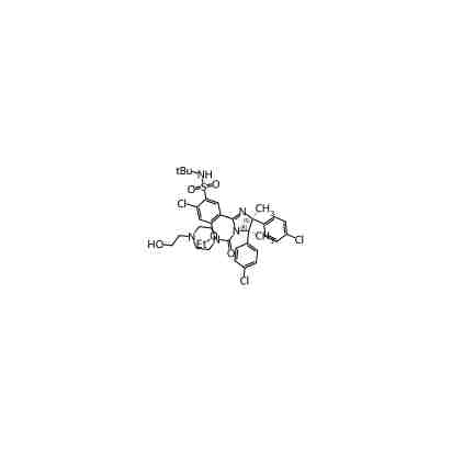 CCOc1cc(Cl)c(S(=O)(=O)NC(C)(C)C)cc1C1=N[C@@](C)(c2ccc(Cl)cc2)[C@@](C)(c2ccc(Cl)cc2)N1C(=O)N1CCN(CCO)CC1